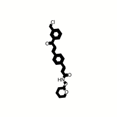 O=C(/C=C/c1ccc(/C=C/C(=O)c2cccc(CCl)c2)cc1)NOC1CCCCO1